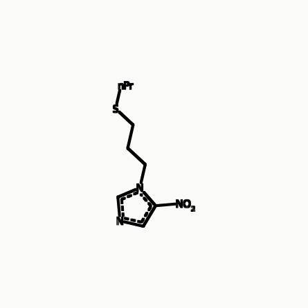 [CH2]CCSCCCn1cncc1[N+](=O)[O-]